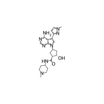 CN1CCC(NC(=O)[C@H]2C[C@@H](n3cc(-c4ccn(C)n4)c4c(N)ncnc43)C[C@@H]2O)CC1